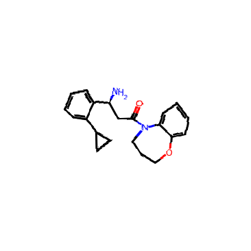 N[C@@H](CC(=O)N1CCCOc2ccccc21)c1ccccc1C1CC1